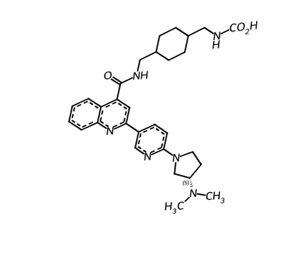 CN(C)[C@H]1CCN(c2ccc(-c3cc(C(=O)NCC4CCC(CNC(=O)O)CC4)c4ccccc4n3)cn2)C1